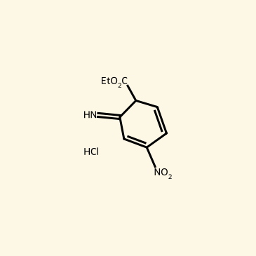 CCOC(=O)C1C=CC([N+](=O)[O-])=CC1=N.Cl